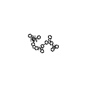 c1ccc(-c2nc(-c3ccccc3)nc(-c3ccc4c(c3)-c3cc(-n5c6ccccc6c6cc(-c7ccc8c(c7)c7cc(-n9c%10ccccc%10c%10ccccc%109)ccc7n8-c7ccccc7)ccc65)ccc3C4)n2)cc1